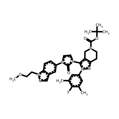 COCCn1ncc2cc(-n3ccn(-c4c5c(nn4-c4cc(C)c(F)c(C)c4)CCN(C(=O)OC(C)(C)C)C5)c3=O)ccc21